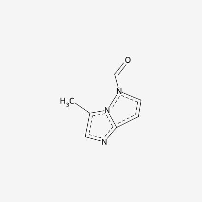 Cc1cnc2ccn(C=O)n12